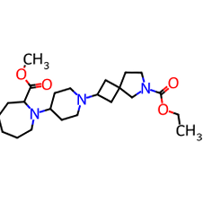 CCOC(=O)N1CCC2(CC(N3CCC(N4CCCCCC4C(=O)OC)CC3)C2)C1